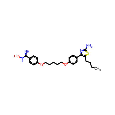 CCCCc1sc(N)nc1-c1ccc(OCCCCCOc2ccc(C(=N)NO)cc2)cc1